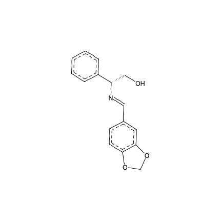 OC[C@H](/N=C/c1ccc2c(c1)OCO2)c1ccccc1